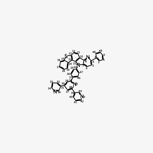 c1ccc(-c2ccc3c(n2)c2ccc4sc5ccccc5c4c2n3-c2ccc(-c3cc(-c4cccnc4)cc(-c4cccnc4)n3)cc2)cc1